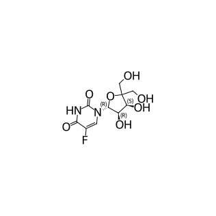 O=c1[nH]c(=O)n([C@@H]2OC(CO)(CO)[C@@H](O)[C@H]2O)cc1F